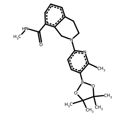 CNC(=O)c1cccc2c1CN(c1ccc(B3OC(C)(C)C(C)(C)O3)c(C)n1)CC2